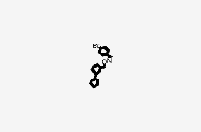 Brc1ccc(/[C]=N\OCc2cccc(-c3ccccc3)c2)cc1